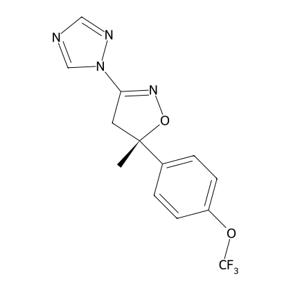 C[C@@]1(c2ccc(OC(F)(F)F)cc2)CC(n2cncn2)=NO1